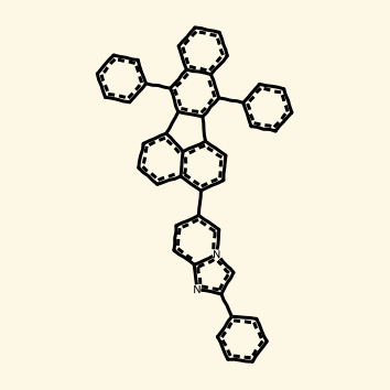 c1ccc(-c2cn3cc(-c4ccc5c6c(cccc46)-c4c-5c(-c5ccccc5)c5ccccc5c4-c4ccccc4)ccc3n2)cc1